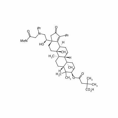 CNC(=O)CN(C[C@H](O)[C@@]12CC[C@]3(C)[C@H](CC[C@@H]4[C@@]5(C)CC[C@@H](OC(=O)CC(C)(C)C(=O)O)C(C)(C)[C@@H]5CC[C@]43C)C1=C(C(C)C)C(=O)C2)C(C)C